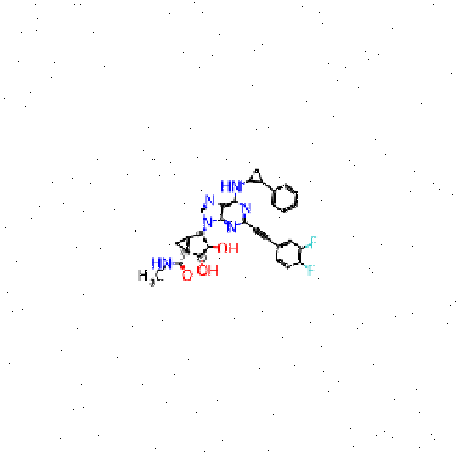 CNC(=O)[C@]12CC1[C@@H](n1cnc3c(NC4CC4c4ccccc4)nc(C#Cc4ccc(F)c(F)c4)nc31)C(O)[C@@H]2O